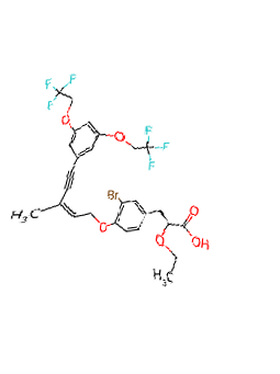 CCO[C@@H](Cc1ccc(OC/C=C(/C)C#Cc2cc(OCC(F)(F)F)cc(OCC(F)(F)F)c2)c(Br)c1)C(=O)O